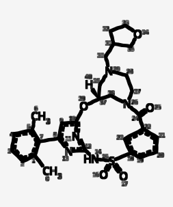 Cc1cccc(C)c1-c1cc2nc(n1)NS(=O)(=O)c1cccc(c1)C(=O)N1CCN(CC3CCOC3)C[C@H](C1)O2